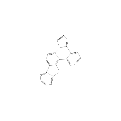 c1ccc2c(c1)sc1c2ccc2c1c1cnccc1c1nccn21